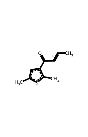 C/C=C/C(=O)c1cc(C)sc1C